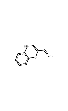 C=CC1=CNc2ccccc2O1